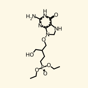 CCOP(=O)(CCC(CO)CON1CNc2c1nc(N)[nH]c2=O)OCC